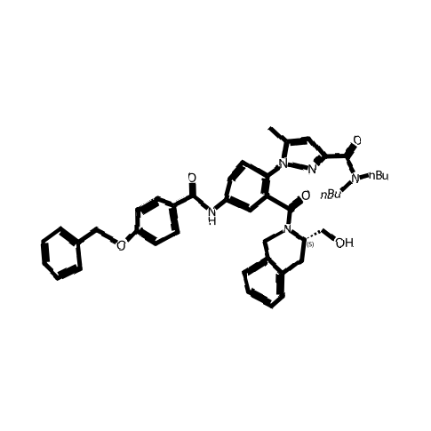 CCCCN(CCCC)C(=O)c1cc(C)n(-c2ccc(NC(=O)c3ccc(OCc4ccccc4)cc3)cc2C(=O)N2Cc3ccccc3C[C@H]2CO)n1